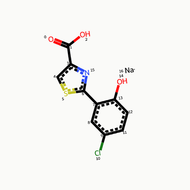 O=C(O)c1csc(-c2cc(Cl)ccc2O)n1.[Na]